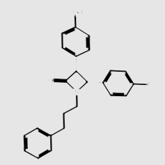 O=C1[C@H](c2ccc(O)cc2)[C@H](c2ccc(F)cc2)N1CCCc1ccccc1